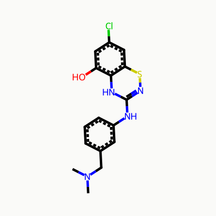 CN(C)Cc1cccc(NC2=NSc3cc(Cl)cc(O)c3N2)c1